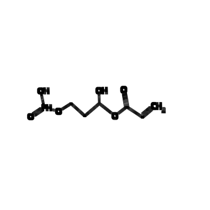 C=CC(=O)OC(O)CCO[PH](=O)O